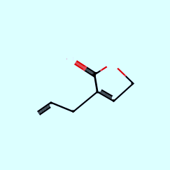 C=CCC1=CCOC1=O